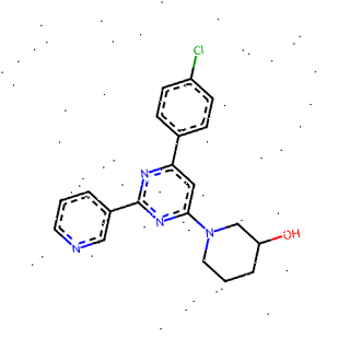 OC1CCCN(c2cc(-c3ccc(Cl)cc3)nc(-c3cccnc3)n2)C1